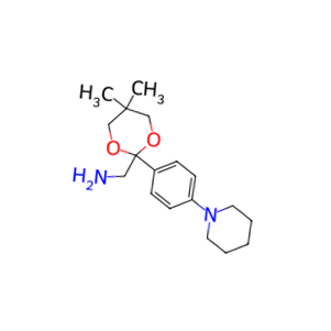 CC1(C)COC(CN)(c2ccc(N3CCCCC3)cc2)OC1